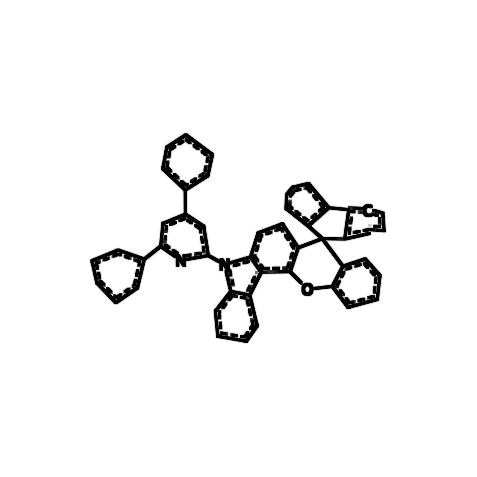 c1ccc(-c2cc(-c3ccccc3)nc(-n3c4ccccc4c4c5c(ccc43)C3(c4ccccc4O5)c4ccccc4-c4ccccc43)c2)cc1